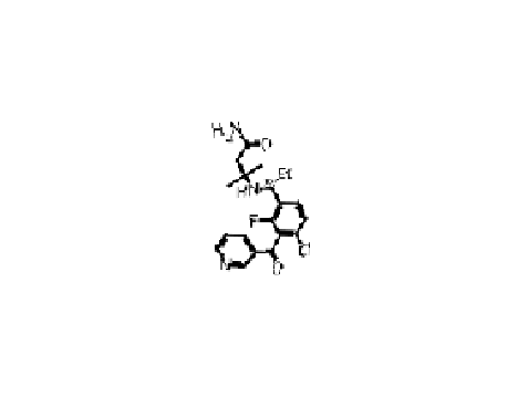 CC[C@@H](NC(C)(C)CC(N)=O)c1ccc(Cl)c(C(=O)c2cccnc2)c1F